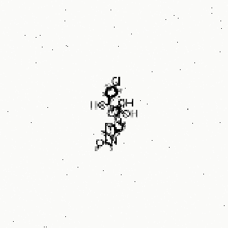 COC1CN=C2c3ccn([C@@H]4O[C@H](C(O)c5ccc(Cl)cc5)[C@@H](O)[C@H]4O)c3N=CN21